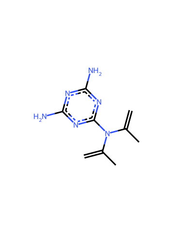 C=C(C)N(C(=C)C)c1nc(N)nc(N)n1